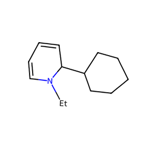 CCN1C=CC=CC1C1CCCCC1